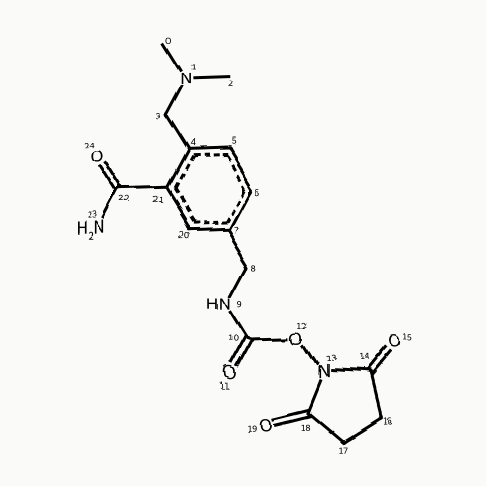 CN(C)Cc1ccc(CNC(=O)ON2C(=O)CCC2=O)cc1C(N)=O